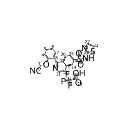 N#CCOc1ccccc1-c1nccc2cc(S(=O)(=O)Nc3nccs3)ccc12.O=C(O)C(F)(F)F